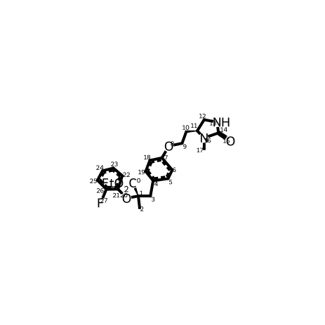 CCOC(=O)[C@](C)(Cc1ccc(OCC[C@H]2CNC(=O)N2C)cc1)Oc1ccccc1F